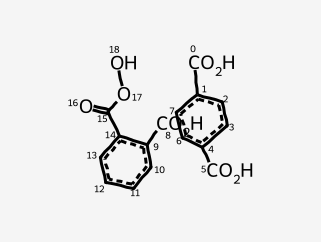 O=C(O)c1ccc(C(=O)O)cc1.O=C(O)c1ccccc1C(=O)OO